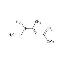 C=CN(C)/C(C)=C/C(=C)OC